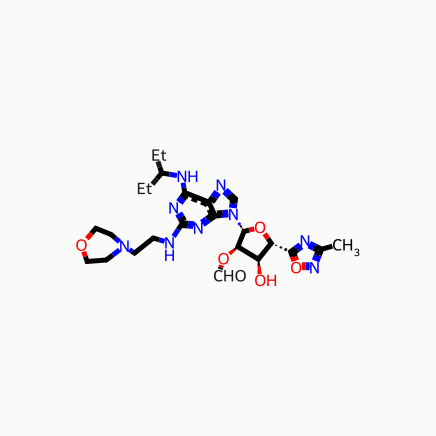 CCC(CC)Nc1nc(NCCN2CCOCC2)nc2c1ncn2[C@@H]1O[C@H](c2nc(C)no2)[C@@H](O)[C@H]1OC=O